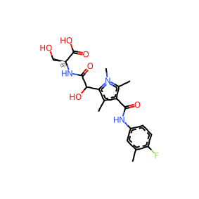 Cc1cc(NC(=O)c2c(C)c(C(O)C(=O)N[C@@H](CO)C(=O)O)n(C)c2C)ccc1F